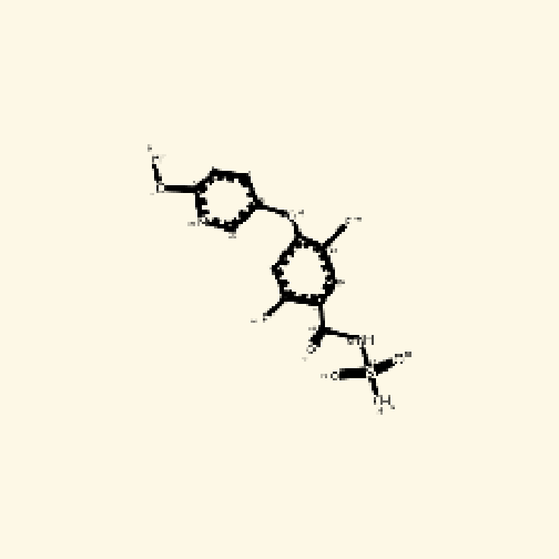 CC(C)Oc1ccc(Oc2cc(F)c(C(=O)NS(C)(=O)=O)cc2F)cn1